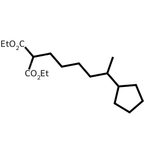 CCOC(=O)C(CCCCC(C)C1CCCC1)C(=O)OCC